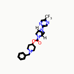 O=C(OC1CCN(Cc2ccccc2)CC1)N1C[C@H]2C[C@@H]1CN2c1cnc(C(F)(F)F)cn1